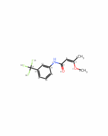 COC(C)=CC(=O)Nc1cccc(C(F)(F)F)c1